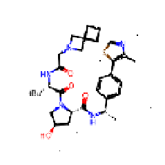 Cc1ncsc1-c1ccc([C@H](C)NC(=O)[C@@H]2C[C@@H](O)CN2C(=O)[C@@H](NC(=O)CN2CC3(CCC3)C2)C(C)(C)C)cc1